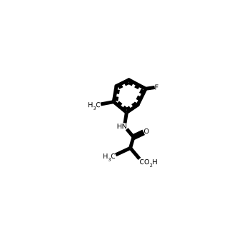 Cc1ccc(F)cc1NC(=O)C(C)C(=O)O